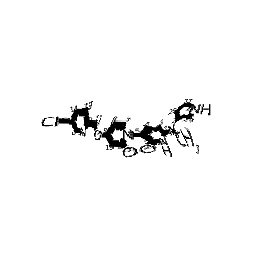 CN(c1ccc(-n2ccc(OCc3ccc(Cl)cn3)cc2=O)c(=O)[nH]1)[C@@H]1CCNC1